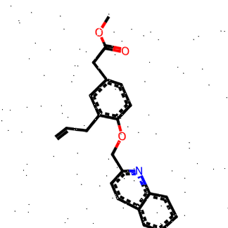 C=CCc1cc(CC(=O)OC)ccc1OCc1ccc2ccccc2n1